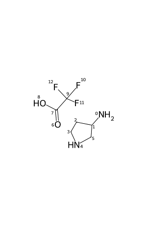 NC1CCNC1.O=C(O)C(F)(F)F